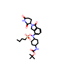 CCCCS(=O)(=O)ON(c1cccc2c1CN(C1CCC(=O)NC1=O)C2=O)C1CCC(NC(=O)OC(C)(C)C)CC1